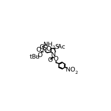 CC(=O)SC1CC(CN(C(=O)OC(C)(C)C)S(N)(=O)=O)N(C(=O)OCc2ccc([N+](=O)[O-])cc2)C1